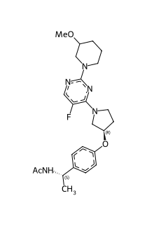 COC1CCCN(c2ncc(F)c(N3CC[C@@H](Oc4ccc([C@H](C)NC(C)=O)cc4)C3)n2)C1